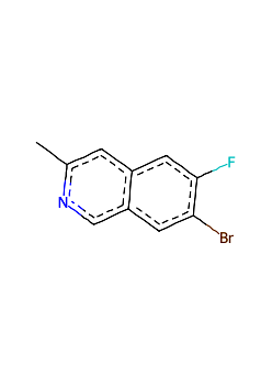 Cc1cc2cc(F)c(Br)cc2cn1